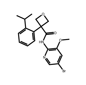 COc1cc(Br)cnc1NC(=O)C1(c2ccccc2C(C)C)COC1